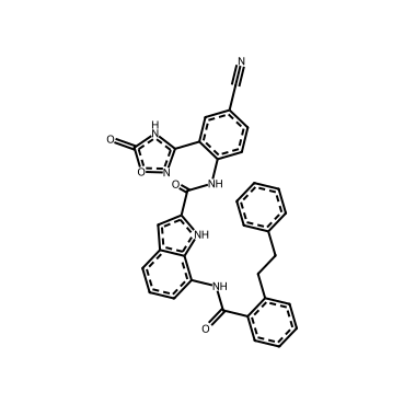 N#Cc1ccc(NC(=O)c2cc3cccc(NC(=O)c4ccccc4CCc4ccccc4)c3[nH]2)c(-c2noc(=O)[nH]2)c1